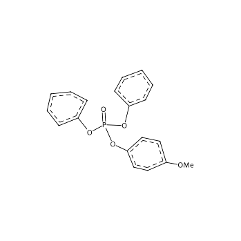 COc1ccc(OP(=O)(Oc2ccccc2)Oc2ccccc2)cc1